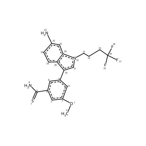 COc1cc(C(N)=S)cc(-c2cn(CCCC(F)(F)F)c3cc(N)ccc23)c1